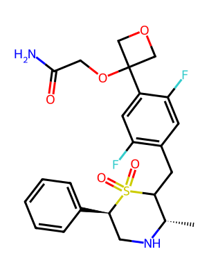 C[C@@H]1NC[C@@H](c2ccccc2)S(=O)(=O)C1Cc1cc(F)c(C2(OCC(N)=O)COC2)cc1F